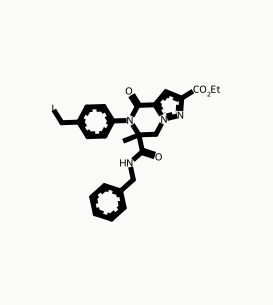 CCOC(=O)c1cc2n(n1)CC(C)(C(=O)NCc1ccccc1)N(c1ccc(CI)cc1)C2=O